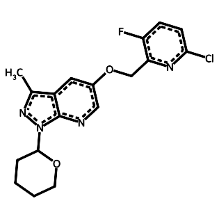 Cc1nn(C2CCCCO2)c2ncc(OCc3nc(Cl)ccc3F)cc12